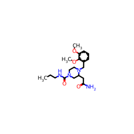 CCCNC(=O)N1CCN(Cc2cccc(OC)c2OC)C(CC(N)=O)C1